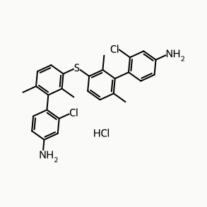 Cc1ccc(Sc2ccc(C)c(-c3ccc(N)cc3Cl)c2C)c(C)c1-c1ccc(N)cc1Cl.Cl